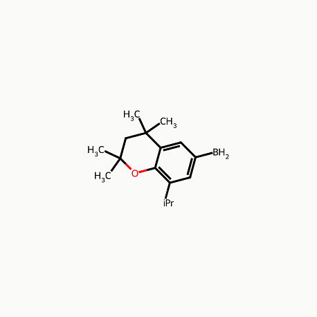 Bc1cc(C(C)C)c2c(c1)C(C)(C)CC(C)(C)O2